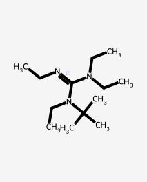 CC/N=C(/N(CC)CC)N(CC)C(C)(C)C